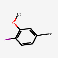 [CH2]C(C)c1ccc(I)c(OCC)c1